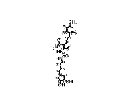 Cc1cc(F)c(COc2nsc(NC(=O)NCCCCN3CC(O)C(O)C3)c2C(N)=O)c(F)c1F